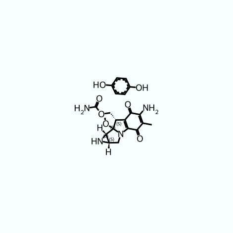 CO[C@@]12[C@H](COC(N)=O)C3=C(C(=O)C(C)=C(N)C3=O)N1C[C@@H]1N[C@@H]12.Oc1ccc(O)cc1